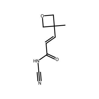 CC1(C=CC(=O)NC#N)COC1